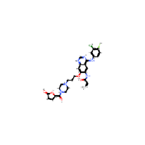 C=CC(=O)Nc1cc2c(Nc3ccc(F)c(Cl)c3)ncnc2cc1OCCCN1CCN(C(=O)C2CCC(=O)O2)CC1